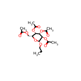 C=CCO[C@@H]1O[C@H](COC(C)=O)[C@H](OC(C)=O)[C@H](OC(C)=O)[C@H]1OC(C)=O